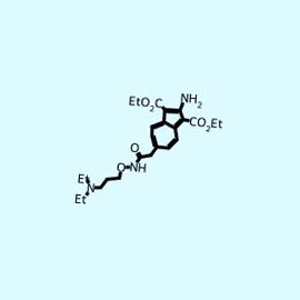 CCOC(=O)c1c2ccc(CC(=O)NOCCCN(CC)CC)ccc-2c(C(=O)OCC)c1N